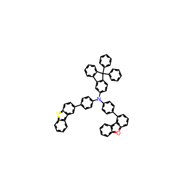 c1ccc(C2(c3ccccc3)c3ccccc3-c3cc(N(c4ccc(-c5ccc6sc7ccccc7c6c5)cc4)c4ccc(-c5cccc6oc7ccccc7c56)cc4)ccc32)cc1